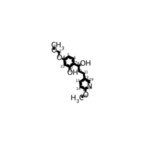 COCOc1ccc(C(O)CCc2ccc(OC)nc2)c(O)c1